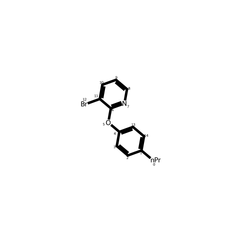 CCCc1ccc(Oc2ncccc2Br)cc1